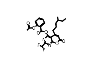 CCC(C)CCCc1cc(=O)oc2nc(C(F)F)nc(OC(=O)c3ccccc3OC(C)=O)c12